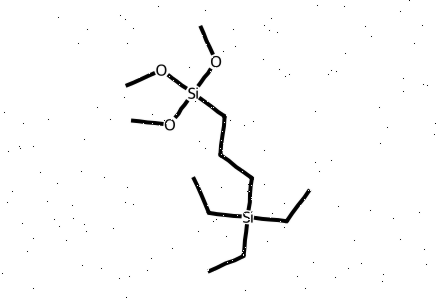 CC[Si](CC)(CC)CCC[Si](OC)(OC)OC